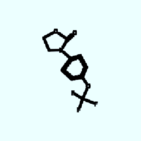 O=C1OCCN1c1ccc(OC(F)(F)F)cc1